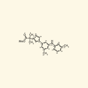 COC(=O)C(C)(C)n1cc(-c2cc(C)cc(Nc3nccc(C)n3)c2)cn1